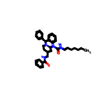 CCCCCCCNC(=O)NC1CC(CNC(=O)c2ccccc2)CCN1C(c1ccccc1)c1ccccc1